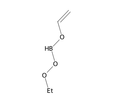 C=COBOOCC